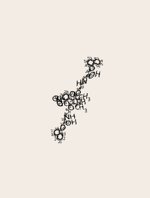 CC1=C(C(=O)OCCCNCC(O)COc2cccc3ccccc23)C(c2cccc([N+](=O)[O-])c2)C(C(=O)OCCCNCC(O)COc2cccc3ccccc23)=C(C)N1